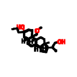 CCC[C@@]1(O)CC[C@@]2(COC)[C@H](CC[C@H]3[C@@H]4CC[C@H](C(C)CO)[C@@]4(C)CC[C@@H]32)C1